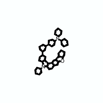 c1ccc(N(c2ccccc2)c2ccc(-c3cccc(-c4ccc5c(c4)c4c6cc7c(cc6ccc4n5-c4ccccc4)oc4ccccc47)c3)cc2)cc1